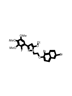 CCOc1cc(-c2cc(OC)c(OC)c(OC)c2F)nn1CCOc1ccc2cc(Br)ccc2c1Br